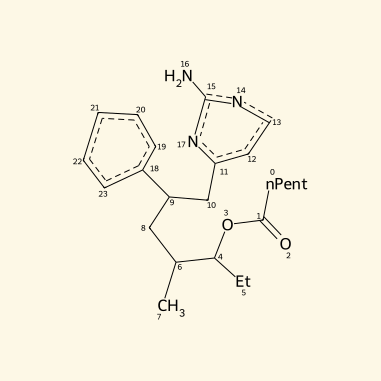 CCCCCC(=O)OC(CC)C(C)CC(Cc1ccnc(N)n1)c1ccccc1